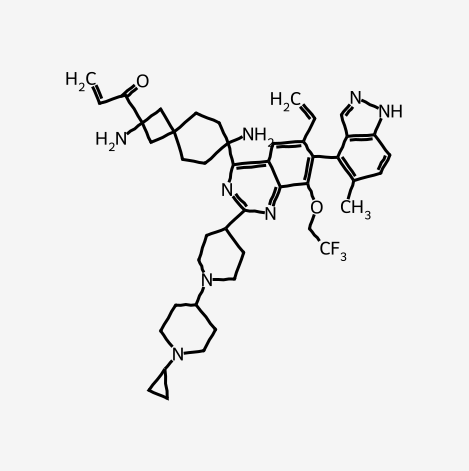 C=CC(=O)C1(N)CC2(CCC(N)(c3nc(C4CCN(C5CCN(C6CC6)CC5)CC4)nc4c(OCC(F)(F)F)c(-c5c(C)ccc6[nH]ncc56)c(C=C)cc34)CC2)C1